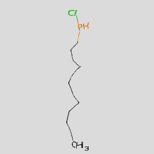 CCCCCCPCl